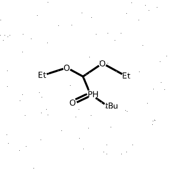 CCOC(OCC)[PH](=O)C(C)(C)C